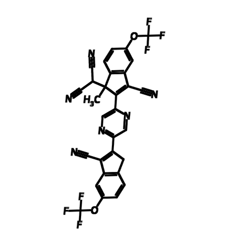 CC1(C(C#N)C#N)C(c2cnc(C3=C(C#N)c4cc(OC(F)(F)F)ccc4C3)cn2)=C(C#N)c2cc(OC(F)(F)F)ccc21